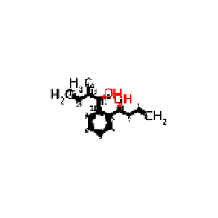 C=CCC(O)c1ccccc1C(O)C(C)C=C